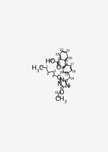 CCCCCCn1nc(OCC)nc1Cc1ccc(-c2ccccc2C(=O)O)cc1